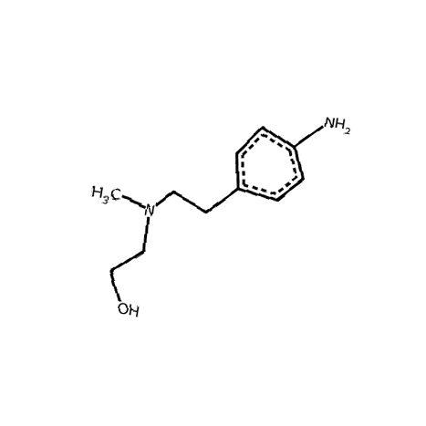 CN(CCO)CCc1ccc(N)cc1